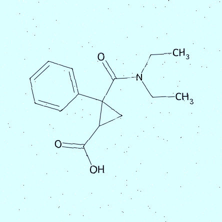 CCN(CC)C(=O)C1(c2ccccc2)CC1C(=O)O